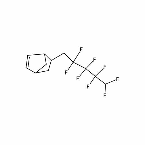 FC(F)C(F)(F)C(F)(F)C(F)(F)CC1CC2C=CC1C2